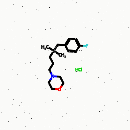 C[Si](C)(CCCN1CCOCC1)Cc1ccc(F)cc1.Cl